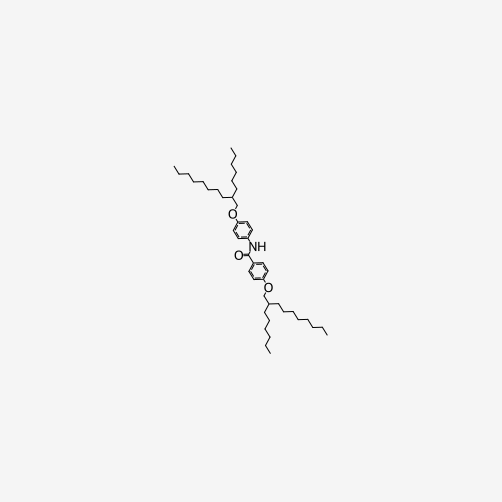 CCCCCCCCC(CCCCCC)COc1ccc(NC(=O)c2ccc(OCC(CCCCCC)CCCCCCCC)cc2)cc1